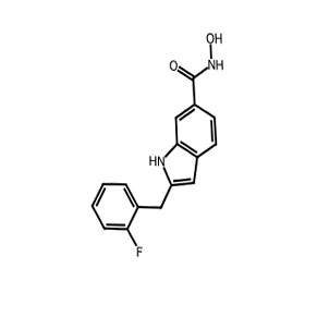 O=C(NO)c1ccc2cc(Cc3ccccc3F)[nH]c2c1